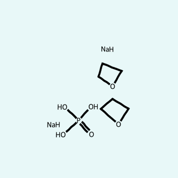 C1COC1.C1COC1.O=P(O)(O)O.[NaH].[NaH]